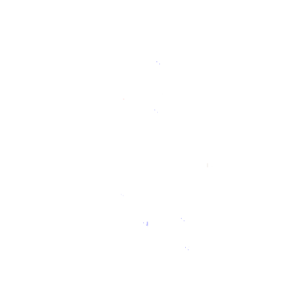 Br.Oc1cccnc1CNCc1ccc(CN[C@H]2CCCC[C@H]2NCc2ncc[nH]2)cc1